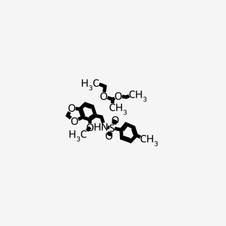 CCOC(C)OCC.COc1c(CNS(=O)(=O)c2ccc(C)cc2)ccc2c1OCO2